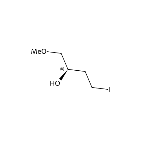 COC[C@H](O)CCI